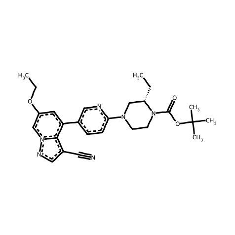 CCOc1cc(-c2ccc(N3CCN(C(=O)OC(C)(C)C)[C@@H](CC)C3)nc2)c2c(C#N)cnn2c1